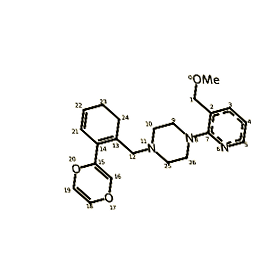 COCc1cccnc1N1CCN(CC2=C(C3=COC=CO3)C=CCC2)CC1